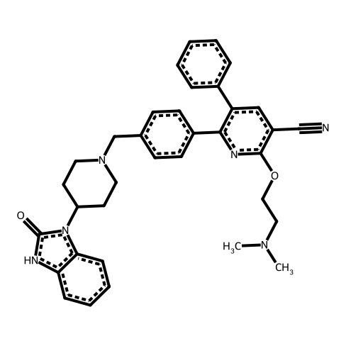 CN(C)CCOc1nc(-c2ccc(CN3CCC(n4c(=O)[nH]c5ccccc54)CC3)cc2)c(-c2ccccc2)cc1C#N